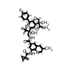 Cc1cnc2c(NC(=O)C3(F)CC3)cc(C(=O)NC[C@](O)(c3cc4c(c(-c5ccc(F)cc5)n3)OC[C@]4(C)C(N)=O)C(F)(F)F)cc2c1